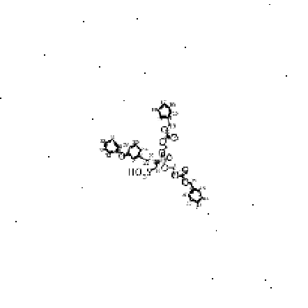 O=C(OCOP(=O)(OCOC(=O)OCc1ccccc1)[C@@H](CCc1cccc(Oc2ccccc2)c1)CS(=O)(=O)O)OCc1ccccc1